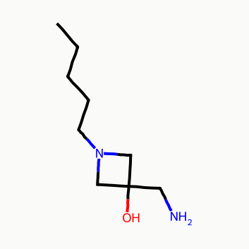 CCCCCN1CC(O)(CN)C1